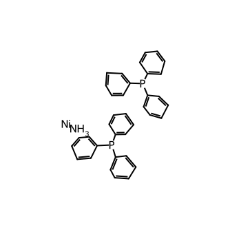 N.[Ni].c1ccc(P(c2ccccc2)c2ccccc2)cc1.c1ccc(P(c2ccccc2)c2ccccc2)cc1